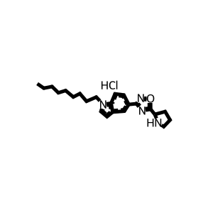 CCCCCCCCCn1ccc2cc(-c3noc(C4CCCN4)n3)ccc21.Cl